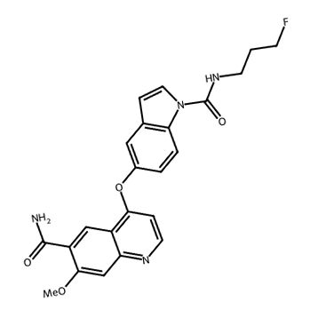 COc1cc2nccc(Oc3ccc4c(ccn4C(=O)NCCCF)c3)c2cc1C(N)=O